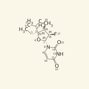 CC[C@@]1(C(C)C)O[C@@H](n2ccc(=O)[nH]c2=O)[C@H](F)[C@@H]1C